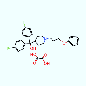 O=C(O)C(=O)O.OC(c1ccc(F)cc1)(c1ccc(F)cc1)C1CCN(CCCOc2ccccc2)CC1